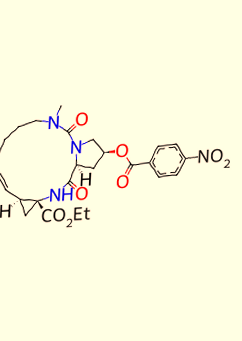 CCOC(=O)[C@@]12C[C@H]1/C=C\CCCCN(C)C(=O)N1C[C@@H](OC(=O)c3ccc([N+](=O)[O-])cc3)C[C@H]1C(=O)N2